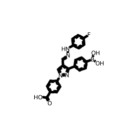 O=C(O)c1ccc(-n2cc(/C=N/Nc3ccc(F)cc3)c(-c3ccc(B(O)O)cc3)n2)cc1